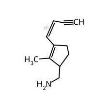 C#C/C=C\C1=C(C)C(CN)CC1